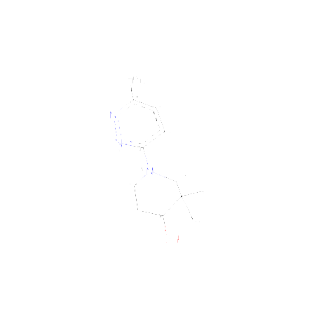 CC(C)(C)c1ccc(N2CCC(O)C(C)(C)C2)nn1